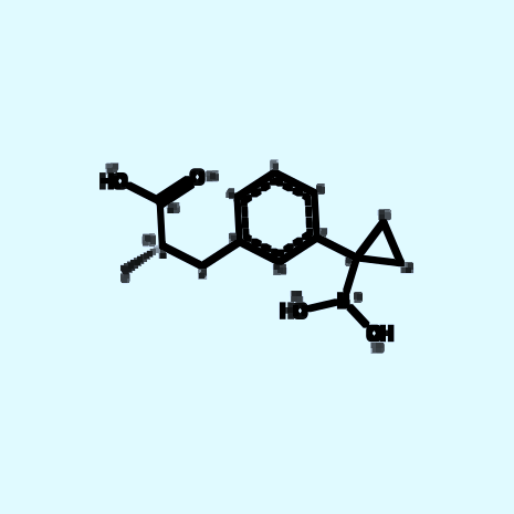 C[C@@H](Cc1cccc(C2(B(O)O)CC2)c1)C(=O)O